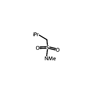 [CH2]NS(=O)(=O)CC(C)C